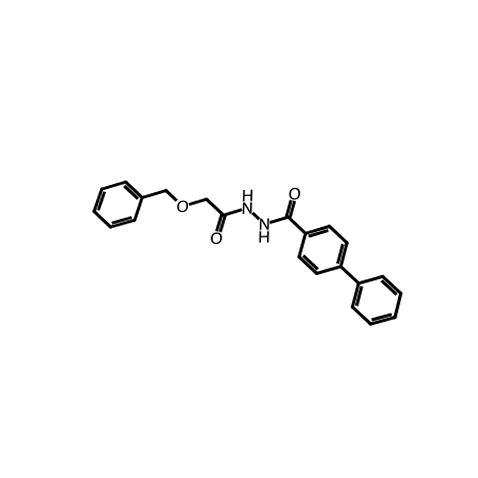 O=C(COCc1ccccc1)NNC(=O)c1ccc(-c2ccccc2)cc1